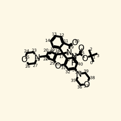 CC(C)(C)OC(=O)NN1C(=O)c2ccccc2C12c1ccc(N3CCOCC3)cc1Oc1cc(N3CCOCC3)ccc12